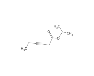 CCC#CCC(=O)OC(C)C